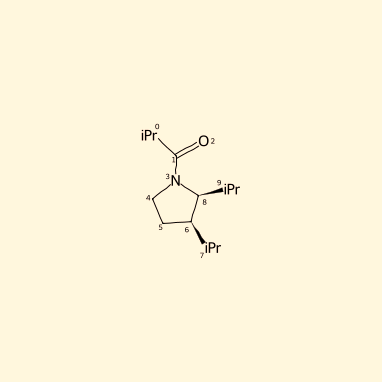 CC(C)C(=O)N1CC[C@H](C(C)C)[C@@H]1C(C)C